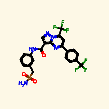 NS(=O)(=O)Cc1cccc(NC(=O)c2cnn3c(C(F)(F)F)cc(-c4ccc(C(F)(F)F)cc4)nc23)c1